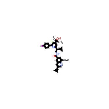 COc1cc(C(=O)NCC(c2cc(C(C)(C)O)c(F)c(-c3ccc(I)cc3)n2)C2CC2)cc2cc(C3CC3)cnc12